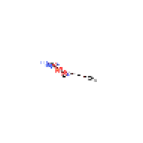 CCCCCCCCCCCCCCCCCCOC[C@H](COP(=O)(O)OC[C@]1(C#N)CC[C@H](c2ccc3c(N)ncnn23)O1)Oc1cccc(C#N)c1